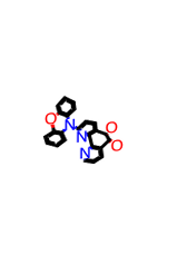 O=C1C(=O)c2ccc(N3c4ccccc4Oc4ccccc43)nc2-c2ncccc21